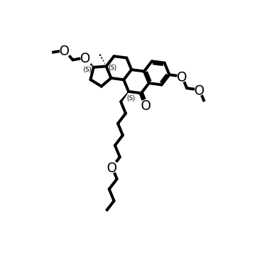 CCCCOCCCCCC[C@@H]1C(=O)c2cc(OCOC)ccc2C2CC[C@@]3(C)C(CC[C@@H]3OCOC)C21